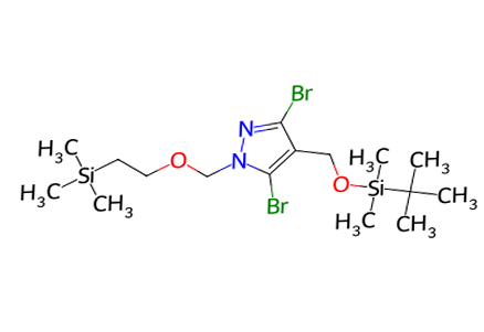 CC(C)(C)[Si](C)(C)OCc1c(Br)nn(COCC[Si](C)(C)C)c1Br